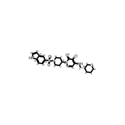 O=c1c(Cl)c(NC[C@H]2CCCOC2)cnn1C1CCN(S(=O)(=O)c2ccc3[nH]ccc3c2)CC1